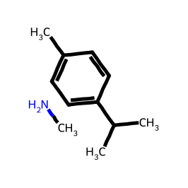 CN.Cc1ccc(C(C)C)cc1